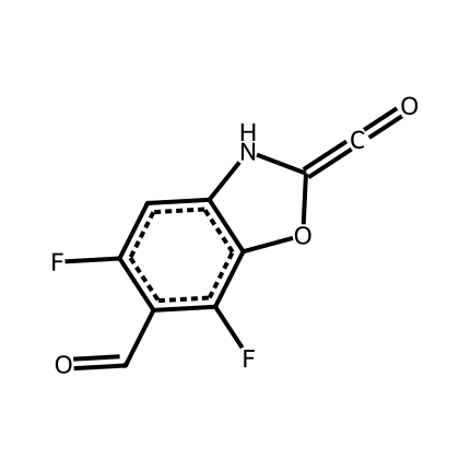 O=C=C1Nc2cc(F)c(C=O)c(F)c2O1